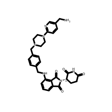 NCc1ccc(N2CCN(Cc3ccc(CNc4cccc5c4C(=O)N([C@H]4CCC(=O)NC4=O)C5=O)cc3)CC2)nc1